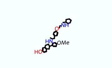 COc1ccc(C2CCc3cc(O)ccc3C2)c(NC(C)Cc2ccc(OCCNCC3CCCCC3)cc2)c1